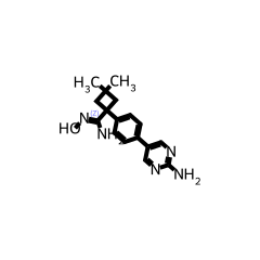 CC1(C)CC(/C(N)=N/O)(c2ccc(-c3cnc(N)nc3)cc2)C1